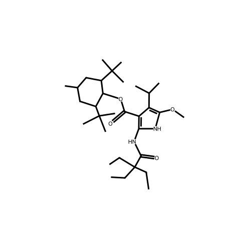 CCC(CC)(CC)C(=O)Nc1[nH]c(OC)c(C(C)C)c1C(=O)OC1C(C(C)(C)C)CC(C)CC1C(C)(C)C